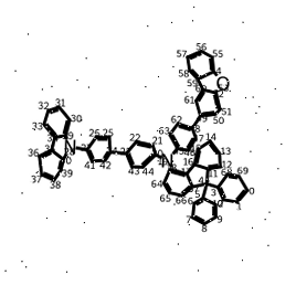 c1ccc(C2(c3ccccc3)c3ccccc3-c3c(N(c4ccc(-c5ccc(-n6c7ccccc7c7ccccc76)cc5)cc4)c4ccc(-c5ccc6oc7ccccc7c6c5)cc4)cccc32)cc1